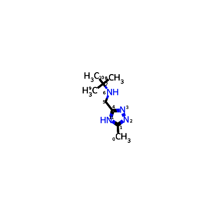 Cc1nnc(CNC(C)(C)C)[nH]1